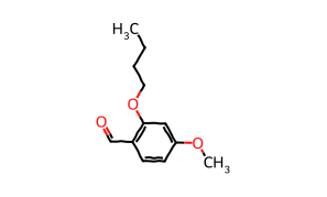 CCCCOc1cc(OC)ccc1C=O